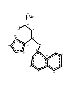 CN[C@@H](Cl)CC(Oc1cccc2ccccc12)c1cccs1